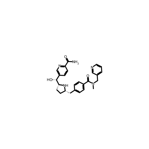 CN(Cc1cccnc1)C(=O)c1ccc(C[C@@H]2CC[C@H]([C@H](O)c3ccc(C(N)=O)nc3)N2)cc1